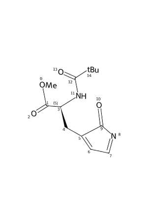 COC(=O)[C@H](CC1=CC=NC1=O)NC(=O)C(C)(C)C